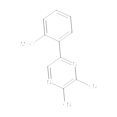 COc1ccccc1-c1cnc(C#N)c(C#N)n1